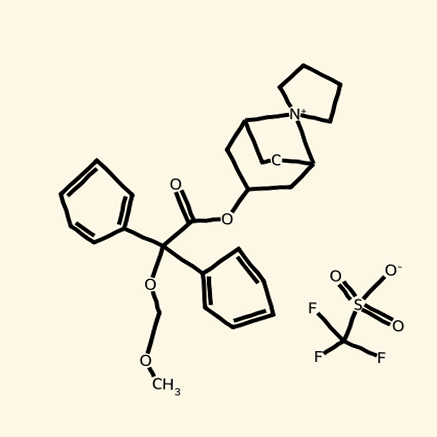 COCOC(C(=O)OC1CC2CCC(C1)[N+]21CCCC1)(c1ccccc1)c1ccccc1.O=S(=O)([O-])C(F)(F)F